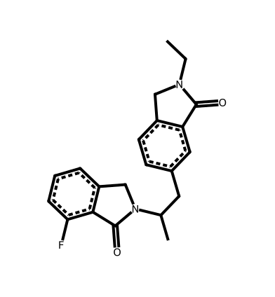 CCN1Cc2ccc(CC(C)N3Cc4cccc(F)c4C3=O)cc2C1=O